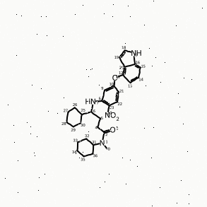 CN(C(=O)CCC(Nc1cc(Oc2cccc3[nH]ccc23)ccc1[N+](=O)[O-])C1CCCCC1)C1CCCCC1